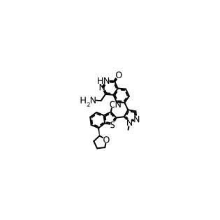 Cn1ncc(-c2ccc3c(=O)[nH]nc(CN)c3c2)c1-c1sc2c([C@@H]3CCCO3)cccc2c1C#N